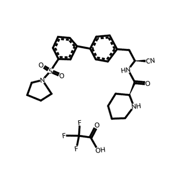 N#C[C@H](Cc1ccc(-c2cccc(S(=O)(=O)N3CCCC3)c2)cc1)NC(=O)[C@@H]1CCCCN1.O=C(O)C(F)(F)F